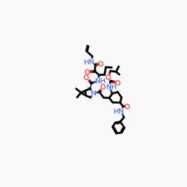 C=CCNC(=O)C(=O)C(CCC)NC(=O)[C@@H]1C2C(CN1C(=O)CC1CC(C(=O)NCc3ccccc3)CCC1NC(=O)OCC(C)C)C2(C)C